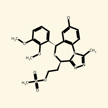 COc1cccc([C@H]2S[C@H](CCOS(C)(=O)=O)c3nnc(C)n3-c3ccc(Cl)cc32)c1OC